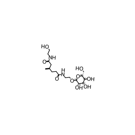 C=C(CCC(=O)NCCO[C@H]1O[C@H](CO)[C@@H](O)[C@H](O)[C@@H]1O)CC(=O)NCCO